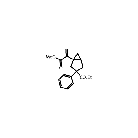 C=C(C(=O)OC)C12CC1CC(C(=O)OCC)(c1ccccc1)C2